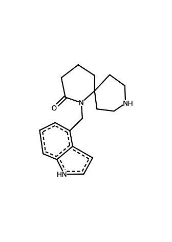 O=C1CCCC2(CCNCC2)N1Cc1cccc2[nH]ccc12